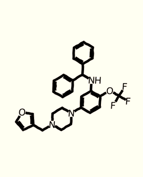 FC(F)(F)Oc1ccc(N2CCN(Cc3ccoc3)CC2)cc1NC(c1ccccc1)c1ccccc1